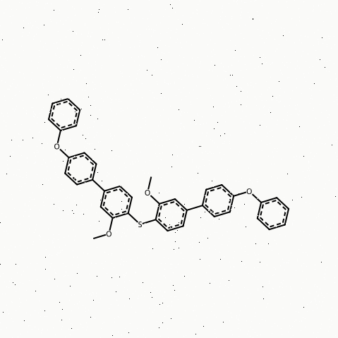 COc1cc(-c2ccc(Oc3ccccc3)cc2)ccc1Sc1ccc(-c2ccc(Oc3ccccc3)cc2)cc1OC